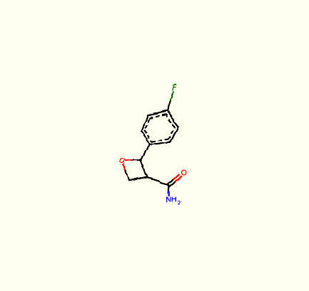 NC(=O)C1COC1c1ccc(F)cc1